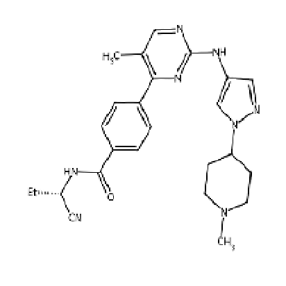 CC[C@@H](C#N)NC(=O)c1ccc(-c2nc(Nc3cnn(C4CCN(C)CC4)c3)ncc2C)cc1